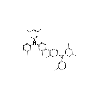 CC1=CC(C)CC(N(C2=CC(C)CC=C2)c2ccc(-c3ccc(N(C4=CC(C)=CC(C)C4)c4cccc(C)c4)cc3C)c(C)c2)=C1